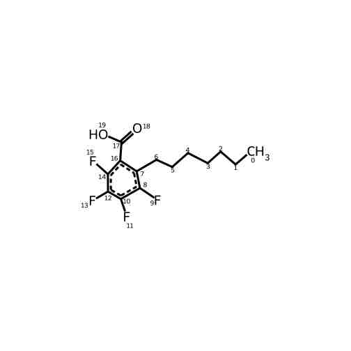 CCCCCCCc1c(F)c(F)c(F)c(F)c1C(=O)O